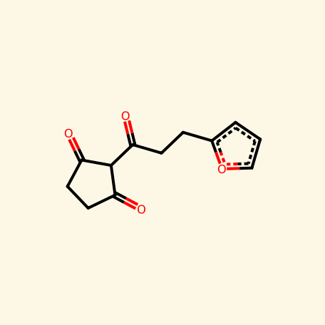 O=C1CCC(=O)C1C(=O)CCc1ccco1